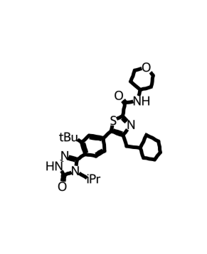 CC(C)n1c(-c2ccc(-c3sc(C(=O)NC4CCOCC4)nc3CC3CCCCC3)cc2C(C)(C)C)n[nH]c1=O